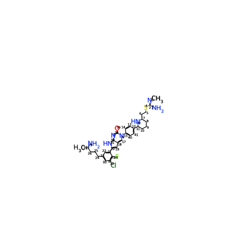 C/N=C(\N)SCCC1CCCC(c2ccc(-n3cc4cc(-c5cc(CCC[C@H](C)N)cc(Cl)c5F)[nH]c4nc3=O)cc2)N1